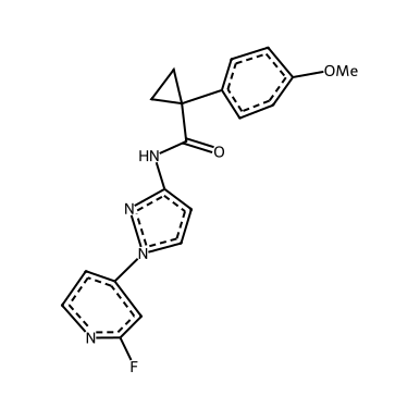 COc1ccc(C2(C(=O)Nc3ccn(-c4ccnc(F)c4)n3)CC2)cc1